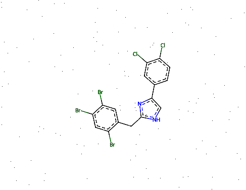 Clc1ccc(-c2c[nH]c(Cc3cc(Br)c(Br)cc3Br)n2)cc1Cl